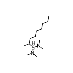 CCCCCCCC(C)[SiH](N(C)C)N(C)C